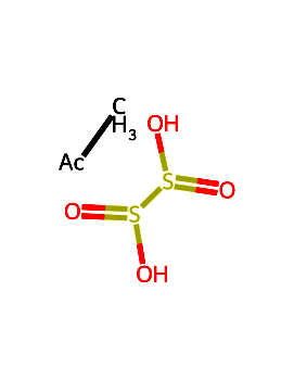 CC(C)=O.O=S(O)S(=O)O